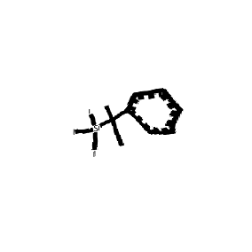 CC(C)(c1ccccc1)[Si](I)(I)I